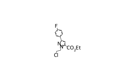 CCOC(=O)c1cc(-c2ccc(F)cc2)nn1CCCl